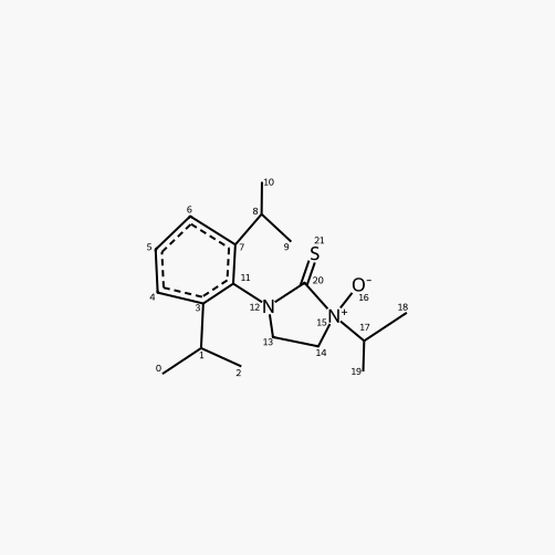 CC(C)c1cccc(C(C)C)c1N1CC[N+]([O-])(C(C)C)C1=S